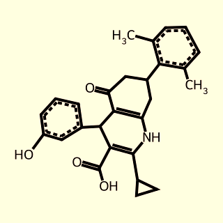 Cc1cccc(C)c1C1CC(=O)C2=C(C1)NC(C1CC1)=C(C(=O)O)C2c1cccc(O)c1